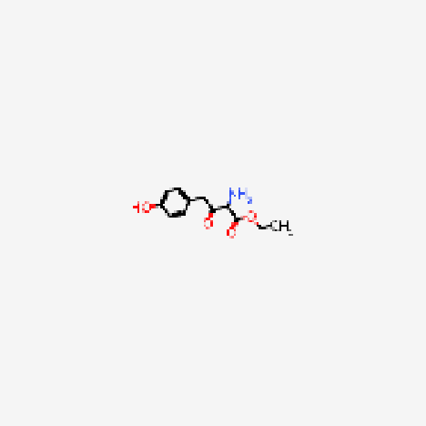 CCOC(=O)C(N)C(=O)Cc1ccc(O)cc1